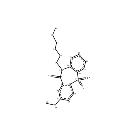 CCCCCCN1C(=O)c2cc(OC)ccc2S(=O)(=O)c2ccccc21